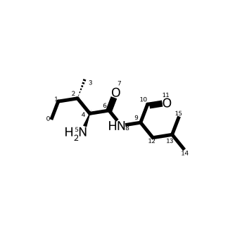 CC[C@H](C)[C@H](N)C(=O)NC(C=O)CC(C)C